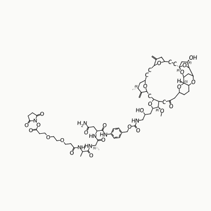 C=C1CC2CC[C@]34C[C@@H](O)C(O3)C3CC(O4)[C@H]4OC(CCC4O3)CC(=O)CC3C(CC4OC(CCC1O2)C[C@@H](C)C4=C)OC(CC(O)CNC(=O)OCc1ccc(NC(=O)C(CC(N)=O)NC(=O)[C@H](C)NC(=O)C(C)NC(=O)CCOCCOCCC(=O)ON2C(=O)CCC2=O)cc1)[C@@H]3OC